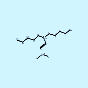 CCCCCN(C=C[SiH](C)C)CCCCC